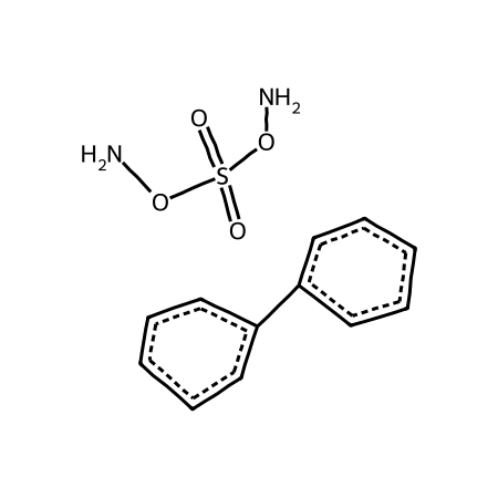 NOS(=O)(=O)ON.c1ccc(-c2ccccc2)cc1